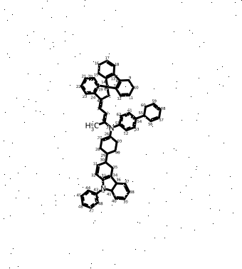 C/C(=C\C=C1/CC2(C3=C(CCC=C3)C3=C2CCC=C3)c2ccccc21)N(C1=CCC(C2C=CC3=C(C2)C2C=CC=CC2N3c2ccccc2)CC1)c1ccc(C2C=CC=CC2)cc1